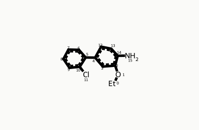 CCOc1cc(-c2ccccc2Cl)ccc1N